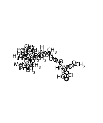 C=CC(=O)N1CCN(c2nc(NCCC(=O)N3CCN(C(=O)CCC[C@@H](C)[C@@H](O)CC(=O)N[C@@H](CC)C(=O)N(C)CC(=O)N(C)CC(=O)NC(C(=O)N(C)[C@@H](CC(C)C)C(=O)N[C@@H](C)C(=O)N[C@H](C)C(=O)N(C)CC(=O)N(C)CC(=O)N(C)C(C(=O)NC)C(C)C)C(C)C)CC3)nc3c(F)c(-c4c(O)cccc4F)c(Cl)cc23)CC1